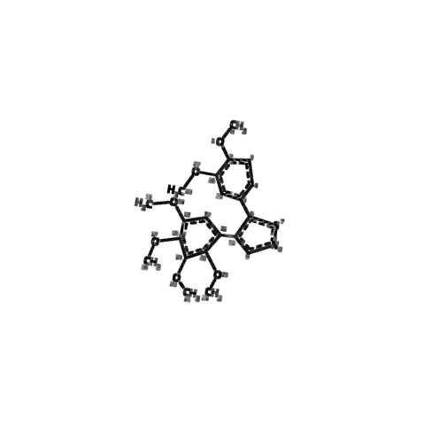 COc1ccc(-c2sncc2-c2cc(OC)c(OC)c(OC)c2OC)cc1OC